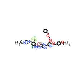 CCN1CCN(Cc2cc(F)c(NC(=O)Nc3cnc(-c4cnc(OCc5ccc(OC)cc5)c(OCCOCc5ccccc5)c4)nc3C)cc2C(F)(F)F)CC1